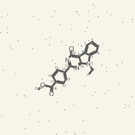 CCn1c2ccccc2c2c(Cl)nc(-c3ccc(C(=O)OC)cc3)nc21